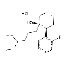 CCN(CC)CCC[C@]1(O)CCCC[C@H]1c1ccccc1F.Cl